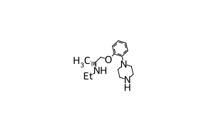 CCN[C@H](C)COc1ccccc1N1CCNCC1